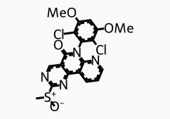 COc1cc(OC)c(Cl)c(-n2c(=O)c3cnc([S+](C)[O-])nc3c3cccnc32)c1Cl